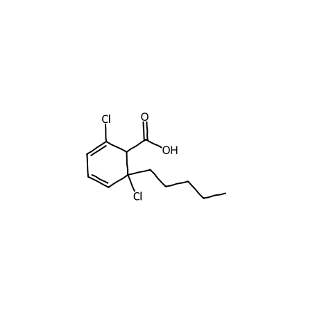 CCCCCC1(Cl)C=CC=C(Cl)C1C(=O)O